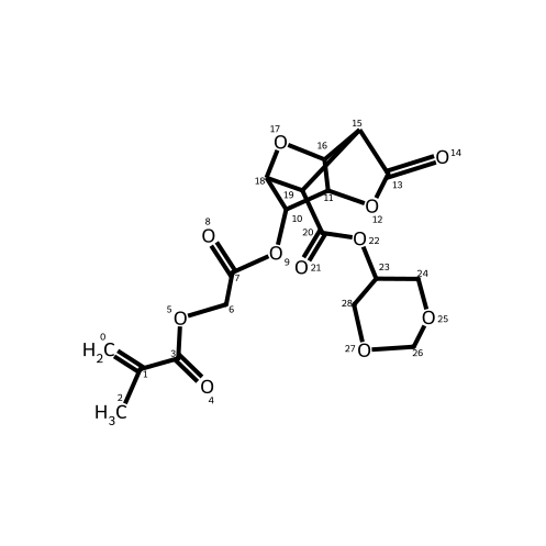 C=C(C)C(=O)OCC(=O)OC1C2OC(=O)C3C2OC1C3C(=O)OC1COCOC1